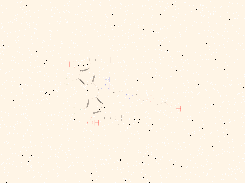 O=C(O)c1cc(C(NCCNCCOCCO)c2cc(Cl)c(O)c(C(=O)O)c2)cc(Cl)c1O